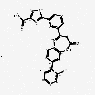 O=C1CC(c2cccc(-c3nc(C(=O)O)cs3)c2)=Nc2ccc(-c3ccccc3F)cc2N1